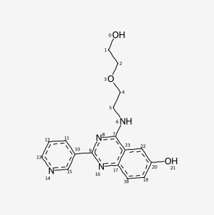 OCCOCCNc1nc(-c2cccnc2)nc2ccc(O)cc12